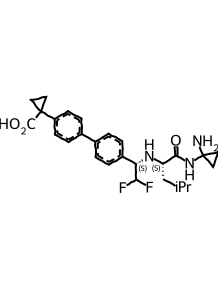 CC(C)C[C@H](N[C@@H](c1ccc(-c2ccc(C3(C(=O)O)CC3)cc2)cc1)C(F)F)C(=O)NC1(N)CC1